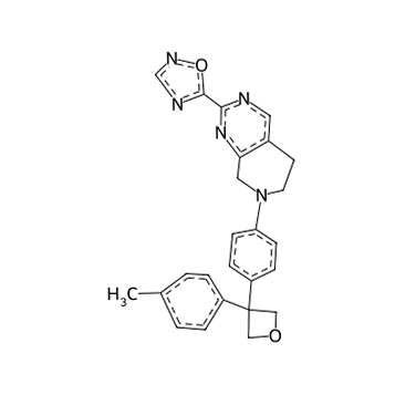 Cc1ccc(C2(c3ccc(N4CCc5cnc(-c6ncno6)nc5C4)cc3)COC2)cc1